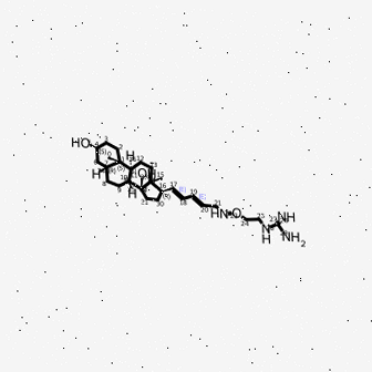 C[C@]12CC[C@H](O)C[C@H]1CC[C@@H]1[C@@H]2CC[C@]2(C)[C@@H](/C=C/C=C/CNOCCNC(=N)N)CC[C@]12O